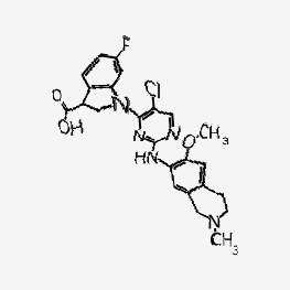 COc1cc2c(cc1Nc1ncc(Cl)c(N3CC(C(=O)O)c4ccc(F)cc43)n1)CN(C)CC2